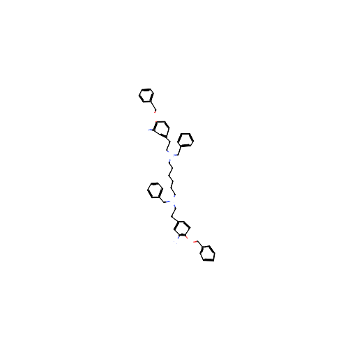 Nc1cc(CCN(CCCCCCN(CCc2ccc(OCc3ccccc3)c(N)c2)Cc2ccccc2)Cc2ccccc2)ccc1OCc1ccccc1